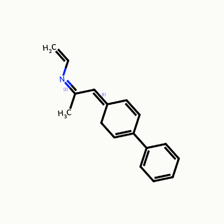 C=C/N=C(C)\C=C1\C=CC(c2ccccc2)=CC1